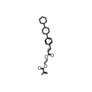 C=C(C)C(=O)OCCOC(=O)/C=C/c1ccc(C2CCC(C3CCCCC3)CC2)cc1